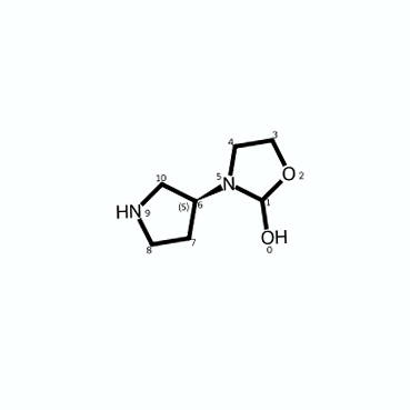 OC1OCCN1[C@H]1CCNC1